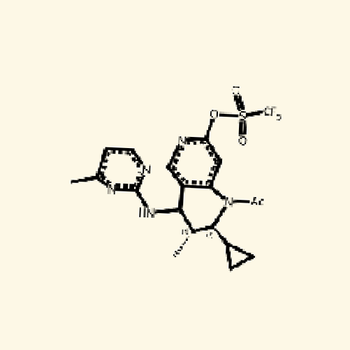 CC(=O)N1c2cc(OS(=O)(=O)C(F)(F)F)ncc2C(Nc2nccc(C)n2)[C@@H](C)[C@@H]1C1CC1